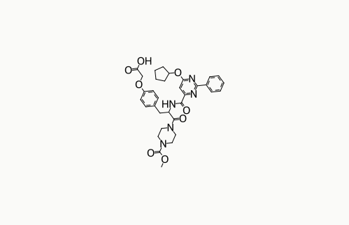 COC(=O)N1CCN(C(=O)C(Cc2ccc(OCC(=O)O)cc2)NC(=O)c2cc(OC3CCCC3)nc(-c3ccccc3)n2)CC1